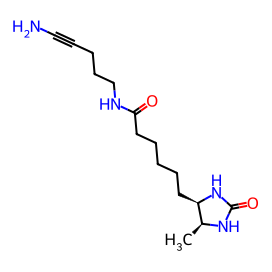 C[C@@H]1NC(=O)N[C@@H]1CCCCCC(=O)NCCCC#CN